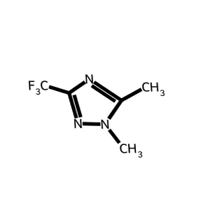 Cc1nc(C(F)(F)F)nn1C